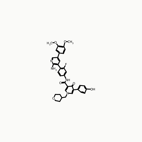 COc1ccc(-c2cnc(N)c(-c3ccc(NC(=O)c4cn(CC5CCOCC5)cc(-c5ccc(O)cc5)c4=O)cc3F)c2)cc1OC